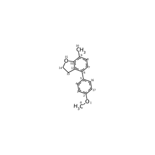 COc1ccc(-c2ccc(C)c3c2CCO3)cc1